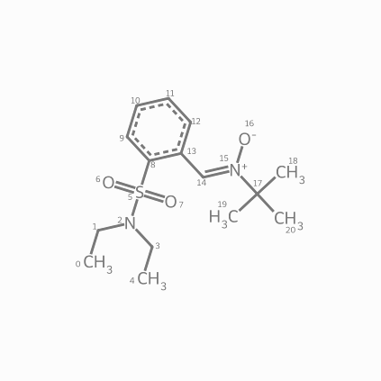 CCN(CC)S(=O)(=O)c1ccccc1C=[N+]([O-])C(C)(C)C